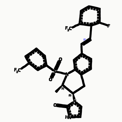 C[C@@H]1[C@H](n2cc[nH]c2=O)Cc2ccc(/C=C/c3c(F)cccc3C(F)(F)F)cc2N1S(=O)(=O)c1cccc(C(F)(F)F)c1